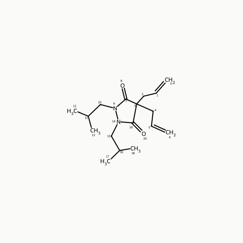 C=CCC1(CC=C)C(=O)N(CC(C)C)N(CC(C)C)C1=O